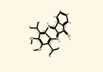 COc1c(OC)c(C(C)C)c2nc3c(nc2c1C(C)C)C(=O)c1ccccc1-3